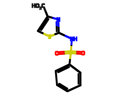 O=C(O)c1csc(NS(=O)(=O)c2ccccc2)n1